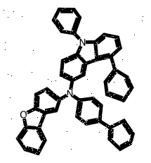 c1ccc(-c2ccc(N(c3ccc4oc5ccccc5c4c3)c3ccc4c(c3)c3c(-c5ccccc5)cccc3n4-c3ccccc3)cc2)cc1